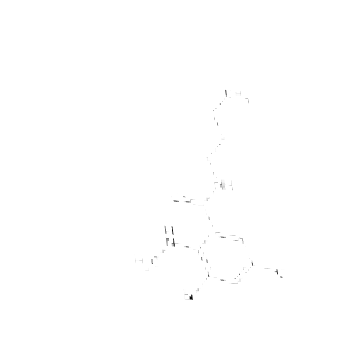 CCCCNC(=O)c1cc(Cl)cc(Br)c1NC